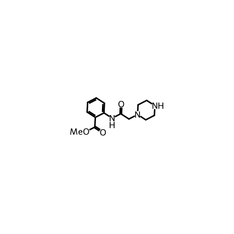 COC(=O)c1ccccc1NC(=O)CN1CCNCC1